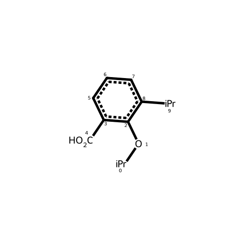 CC(C)Oc1c(C(=O)O)cccc1C(C)C